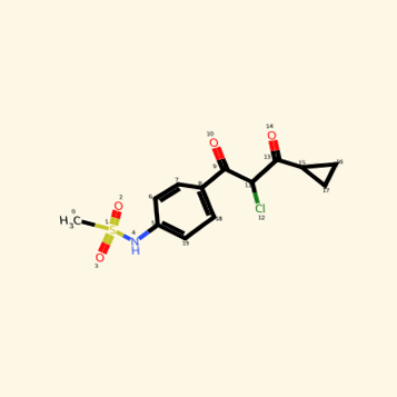 CS(=O)(=O)Nc1ccc(C(=O)C(Cl)C(=O)C2CC2)cc1